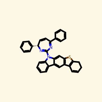 C1=Cc2c(sc3cc4c(cc23)c2ccccc2n4C2=N[C@H](c3ccccc3)C=CC(c3ccccc3)=N2)CC1